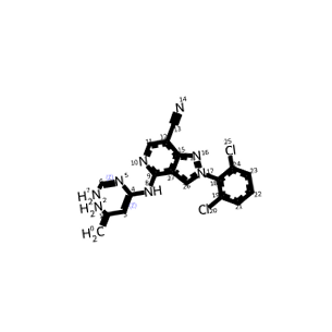 C=C(N)/C=C(\N=C/N)Nc1ncc(C#N)c2nn(-c3c(Cl)cccc3Cl)cc12